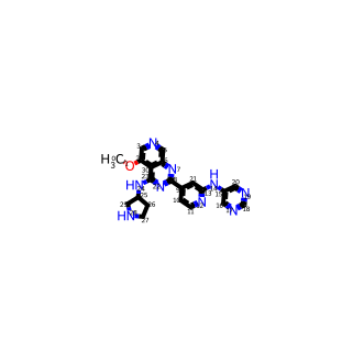 COc1cncc2nc(-c3ccnc(Nc4cncnc4)c3)nc(NC3CCNC3)c12